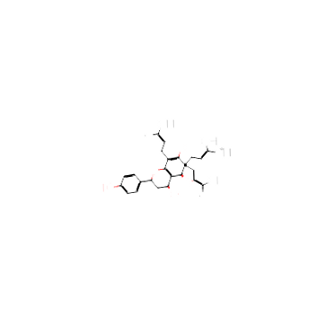 CC(C)=CCC1=C(O)C(CC=C(C)C)(CC=C(C)C)C(=O)C2=C1OC(c1ccc(O)cc1)CC2=O